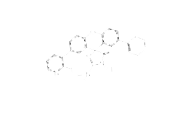 CN1C(=O)[C@@]2(N=C1N)c1cc(C3=CCOCC3)ccc1Oc1ccc(-c3cccnc3F)cc12